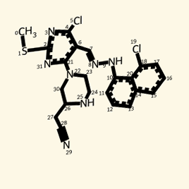 CSc1nc(Cl)c(/C=N/Nc2cccc3cccc(Cl)c23)c(N2CCNC(CC#N)C2)n1